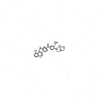 CN1CN(c2c(Cl)cccc2Cl)C(=O)c2cnc(Nc3ccc(N4CCN5CCOC[C@@H]5C4)c(CO)c3)nc21